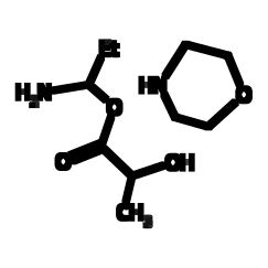 C1COCCN1.CCC(N)OC(=O)C(C)O